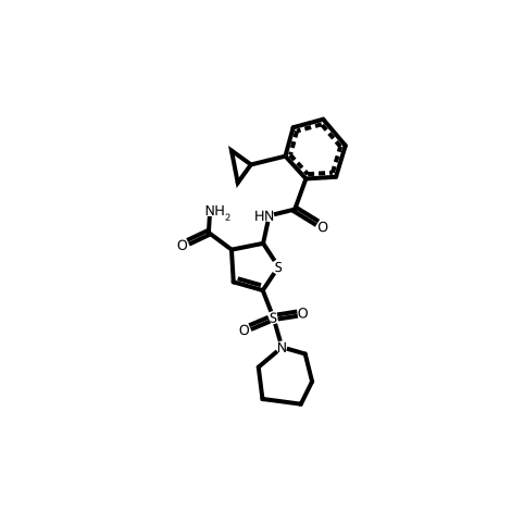 NC(=O)C1C=C(S(=O)(=O)N2CCCCC2)SC1NC(=O)c1ccccc1C1CC1